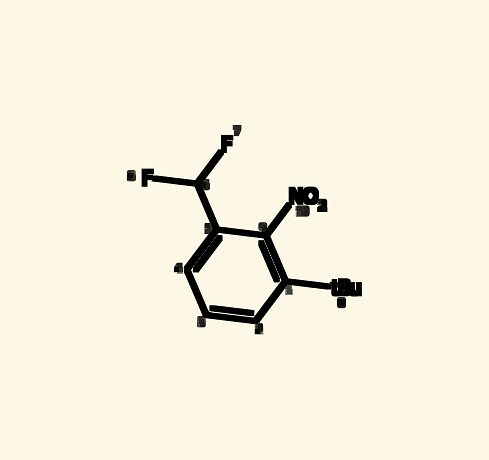 CC(C)(C)c1cccc(C(F)F)c1[N+](=O)[O-]